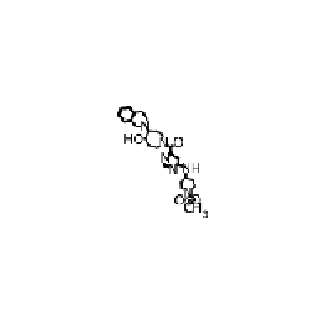 CS(=O)(=O)N1CCC(Nc2cc(C(=O)N3CCC(O)C(N4CCc5ccccc5C4)CC3)ncn2)CC1